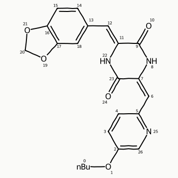 CCCCOc1ccc(C=c2[nH]c(=O)c(=Cc3ccc4c(c3)OCO4)[nH]c2=O)nc1